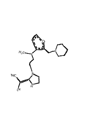 CN(CCN1CCNC1=C(C#N)C#N)c1ccoc1CN1CCCCC1